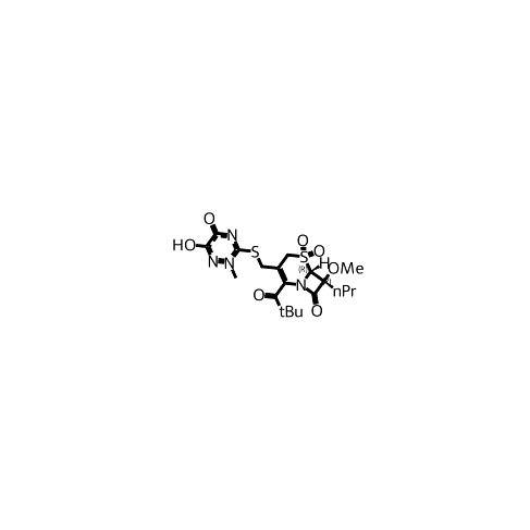 CCC[C@@]1(OC)C(=O)N2C(C(=O)C(C)(C)C)=C(CSc3nc(=O)c(O)nn3C)CS(=O)(=O)[C@@H]21